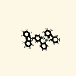 c1ccc2c(c1)B1N(c3ccc(-n4c5ccccc5c5ccccc54)cc3-2)c2cccc3c4cnccc4n1c23